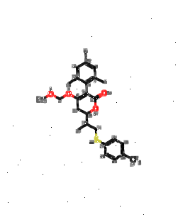 CCOCOC1=C(c2c(C)cc(C)cc2C)C(=O)OC(C(C)CSc2ccc(C(F)(F)F)cc2)C1